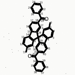 Cc1ccc2c(c1)C1(c3cc(C)ccc3-c3ccc(C(=O)c4ccccc4)cc31)c1cc(C(=O)c3ccccc3)ccc1-2